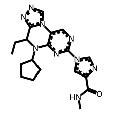 CCC1c2nncn2-c2cnc(-n3cnc(C(=O)NC)c3)nc2N1C1CCCC1